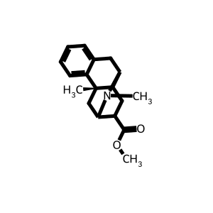 COC(=O)C1CC2C3Cc4ccccc4[C@@]2(C)CC1N3C